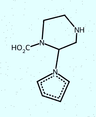 O=C(O)N1CCNCC1n1cccc1